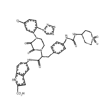 O=C(Nc1ccc(CC(C(=O)Nc2ccc3[nH]c(C(=O)O)cc3c2)N2CCN(c3cc(Cl)ccc3-n3cnnn3)C(=O)C2=O)cc1)NC1CCS(=O)(=O)CC1